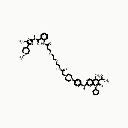 CC(=O)c1c(C)c2cnc(Nc3ccc(N4CCN(CC(=O)NCCOCCOCCC(=O)Nc5ccccc5C(=O)Nc5nc(C6CCN(C)CC6)c(C)s5)CC4)cn3)nc2n(C2CCCC2)c1=O